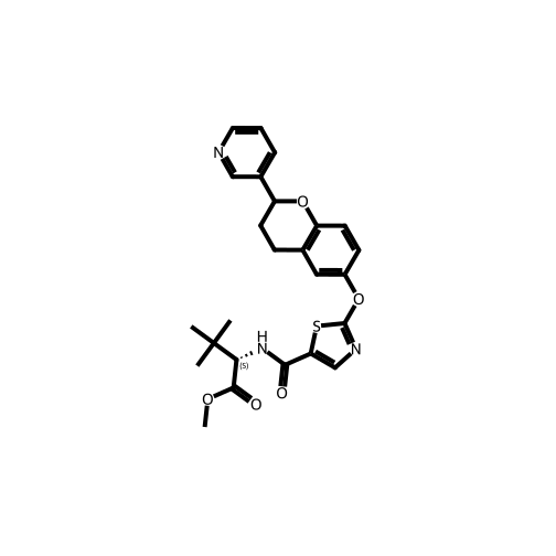 COC(=O)[C@@H](NC(=O)c1cnc(Oc2ccc3c(c2)CCC(c2cccnc2)O3)s1)C(C)(C)C